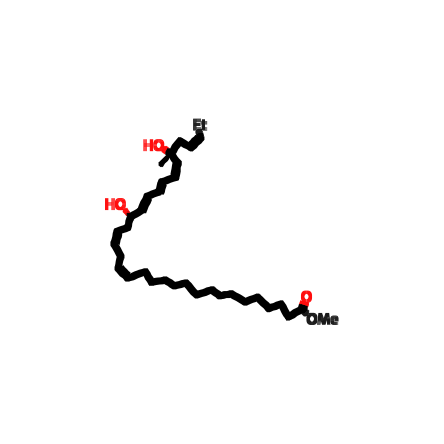 CC/C=C\C[C@@](C)(O)\C=C/C=C/C=C/[C@H](O)C/C=C\C/C=C\CCCCCCCCCCCCCCC(=O)OC